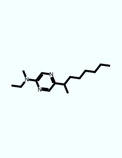 CCCCCCC(C)c1cnc(N(C)CC)cn1